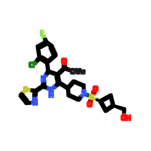 COC(=O)C1=C(C2CCN(S(=O)(=O)[C@H]3C[C@H](CO)C3)CC2)NC(c2nccs2)=NC1c1ccc(F)cc1Cl